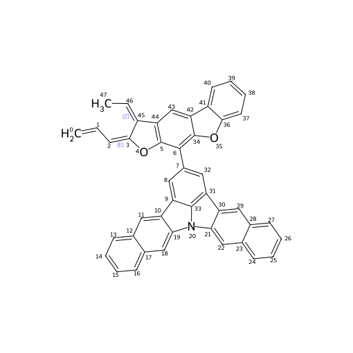 C=C/C=c1/oc2c(-c3cc4c5cc6ccccc6cc5n5c6cc7ccccc7cc6c(c3)c45)c3oc4ccccc4c3cc2/c1=C/C